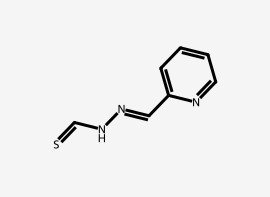 S=CNN=Cc1ccccn1